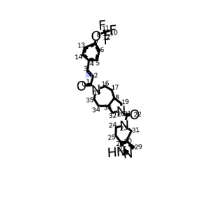 O=C(/C=C/c1ccc(OC(F)(F)F)cc1)N1CCC2CN(C(=O)N3CCc4[nH]ncc4C3)CC2CC1